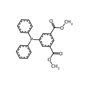 COC(=O)c1cc(C(=O)OC)cc(P(c2ccccc2)c2ccccc2)c1